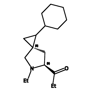 CCC(=O)[C@@H]1C[C@@]2(CC2C2CCCCC2)CN1CC